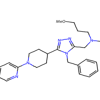 COCCCN(C)Cc1nnc(C2CCN(c3ccccn3)CC2)n1Cc1ccccc1